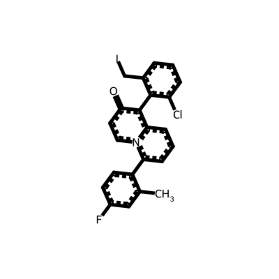 Cc1cc(F)ccc1-c1cccc2c(-c3c(Cl)cccc3CI)c(=O)ccn12